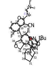 CN(C)/C=N/c1oc2ccc(F)c(-c3c4c(c5c(N6C7CCC6CN(C(=O)OC(C)(C)C)C7)ncnc5c3F)COC4)c2c1C#N